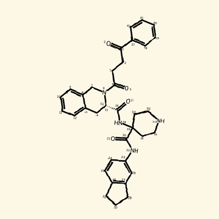 O=C(CCC(=O)N1Cc2ccccc2C[C@H]1C(=O)NC1(C(=O)Nc2ccc3c(c2)CCC3)CCNCC1)c1ccccc1